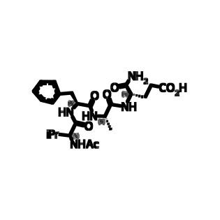 CC(=O)N[C@H](C(=O)N[C@@H](Cc1ccccc1)C(=O)N[C@@H](C)C(=O)N[C@@H](CCC(=O)O)C(N)=O)C(C)C